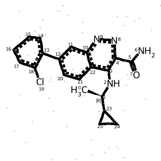 C[C@@H](Nc1c(C(N)=O)nnc2cc(-c3ccccc3Cl)ccc12)C1CC1